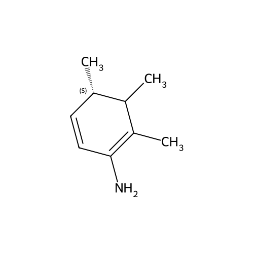 CC1=C(N)C=C[C@H](C)C1C